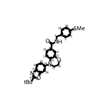 CSc1ccc(CNC(=O)c2ccc3c(c2)OCCN3c2ccc3nc(C(C)(C)C)oc3c2)cc1